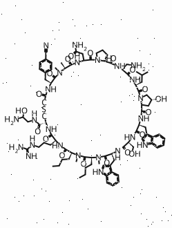 CCCC[C@H]1C(=O)N(C)[C@@H](CCCC)C(=O)N[C@@H](CCCNC(=N)N)C(=O)N[C@H](C(=O)NCC(N)O)CSCC(=O)N[C@@H](Cc2ccc(C#N)cc2)C(=O)N(C)[C@@H](C)C(=O)NC(CC(N)=O)C(=O)N2CCC[C@H]2C(=O)N[C@@H](CN)C(=O)N[C@@H](CC(C)C)C(=O)N2C[C@H](O)CC2C(=O)N[C@@H](Cc2c[nH]c3ccccc23)C(=O)N[C@@H](CO)C(=O)N[C@@H](Cc2c[nH]c3ccccc23)C(=O)N1C